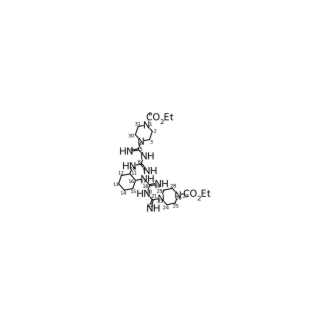 CCOC(=O)N1CCN(C(=N)NC(=N)NC2CCCCC2NC(=N)NC(=N)N2CCN(C(=O)OCC)CC2)CC1